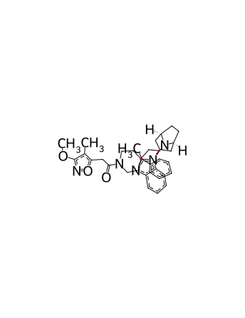 COc1noc(CC(=O)N2CCC(CCN3[C@@H]4CC[C@H]3C[C@@H](n3c(C)nc5ccccc53)C4)(c3ccccc3)CC2)c1C